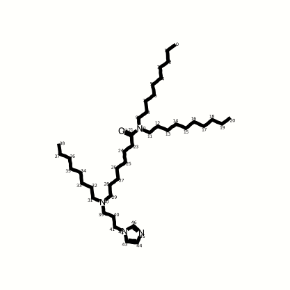 CCCCCCCCCCN(CCCCCCCCCC)C(=O)CCCCCCCN(CCCCCCCC)CCCn1ccnc1